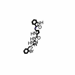 O=C1Nc2ccccc2/C1=C/c1ccc(C(=O)Nc2nnc(SCc3ccccc3Br)[nH]2)[nH]1